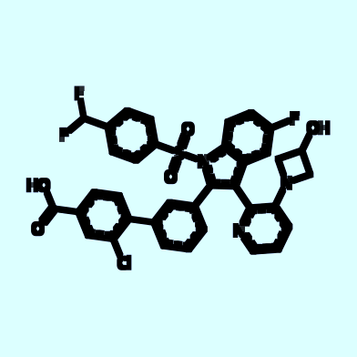 O=C(O)c1ccc(-c2cccc(-c3c(-c4ncccc4N4CC(O)C4)c4cc(F)ccc4n3S(=O)(=O)c3ccc(C(F)F)cc3)c2)c(Cl)c1